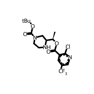 C[C@@H](OC(=O)c1cc(C(F)(F)F)cnc1Cl)C1CN(C(=O)OC(C)(C)C)CCN1